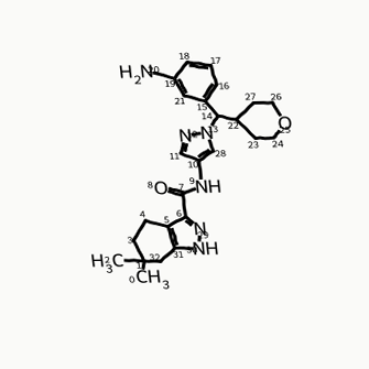 CC1(C)CCc2c(C(=O)Nc3cnn(C(c4cccc(N)c4)C4CCOCC4)c3)n[nH]c2C1